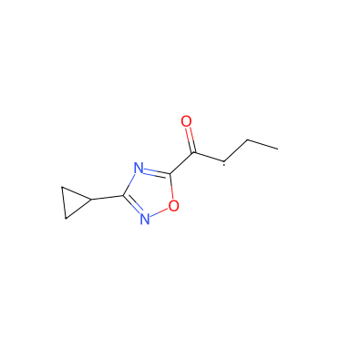 CC[CH]C(=O)c1nc(C2CC2)no1